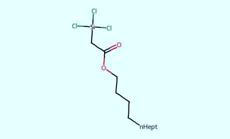 CCCCCCCCCCCOC(=O)C[Si](Cl)(Cl)Cl